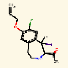 C=CCOc1cc2c(cc1Br)C(I)(C(C)C)C(C(=O)C(F)(F)F)NCC2